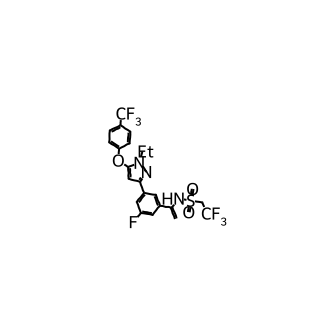 C=C(NS(=O)(=O)CC(F)(F)F)c1cc(F)cc(-c2cc(Oc3ccc(C(F)(F)F)cc3)n(CC)n2)c1